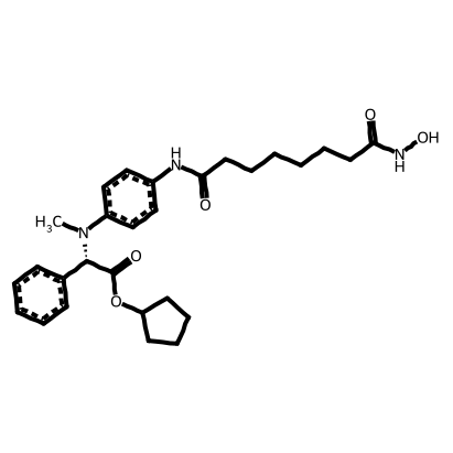 CN(c1ccc(NC(=O)CCCCCCC(=O)NO)cc1)[C@H](C(=O)OC1CCCC1)c1ccccc1